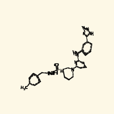 Cc1ccc(CNC(=O)[C@H]2CCCN(c3ccnc(Nc4cccc(-c5nnn[nH]5)c4)n3)C2)cc1